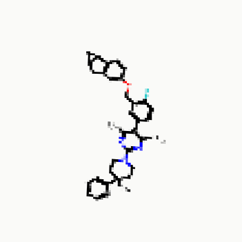 Cc1nc(N2CCC(C#N)(c3ccccc3)CC2)nc(C)c1-c1ccc(F)c(COc2ccc3c(c2)CC2CC32)c1